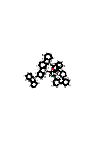 c1ccc(-c2ccc(-n3c4ccccc4c4ccc5c6cc(-n7c8ccccc8c8ccccc87)ccc6n(-c6nc(-c7ccccc7)nc(-c7cccc8c7sc7ccccc78)n6)c5c43)cc2)cc1